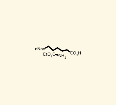 CCCCCCCCCCCCCCC(=O)O.CCOC(N)=O